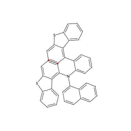 c1ccc(N(c2cccc3ccccc23)c2cccc3sc4ccccc4c23)c(-c2cccc3sc4ccccc4c23)c1